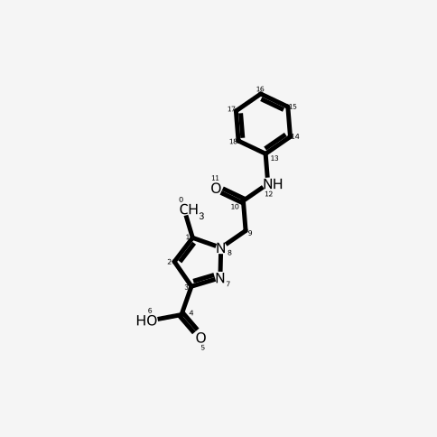 Cc1cc(C(=O)O)nn1CC(=O)Nc1ccccc1